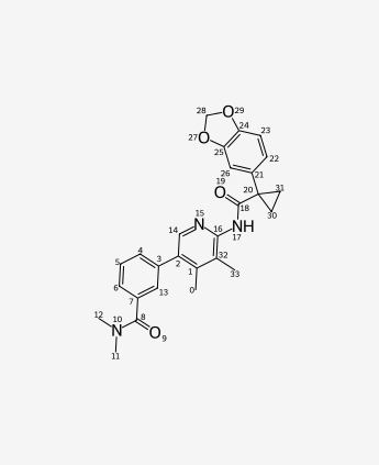 Cc1c(-c2cccc(C(=O)N(C)C)c2)cnc(NC(=O)C2(c3ccc4c(c3)OCO4)CC2)c1C